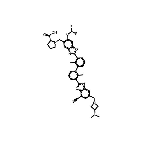 Cc1c(-c2nc3cc(CN4CCC[C@H]4C(=O)O)c(OC(F)F)cc3o2)cccc1-c1cccc(-c2nc3cc(CN4CC(N(C)C)C4)cc(C#N)c3o2)c1C